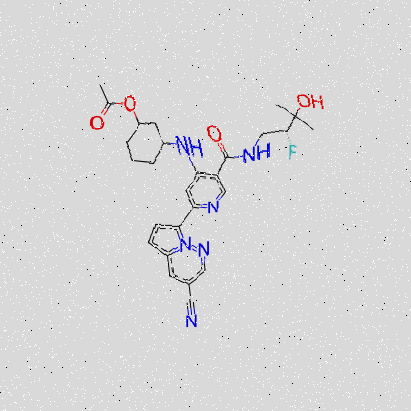 CC(=O)OC1CCCC(Nc2cc(-c3ccc4cc(C#N)cnn34)ncc2C(=O)NC[C@@H](F)C(C)(C)O)C1